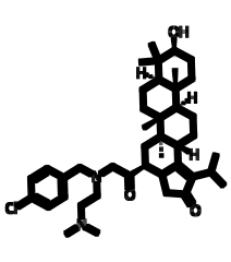 CC(C)C1=C2C(CC1=O)[C@@H](C(=O)CN(CCN(C)C)Cc1ccc(Cl)cc1)C[C@]1(C)[C@@H]2CC[C@@H]2[C@@]3(C)CC[C@H](O)C(C)(C)[C@@H]3CC[C@]21C